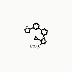 CCOC(=O)c1cnn(-c2cccc(-c3cccc(C4CCCO4)c3)c2)c1C1CC1